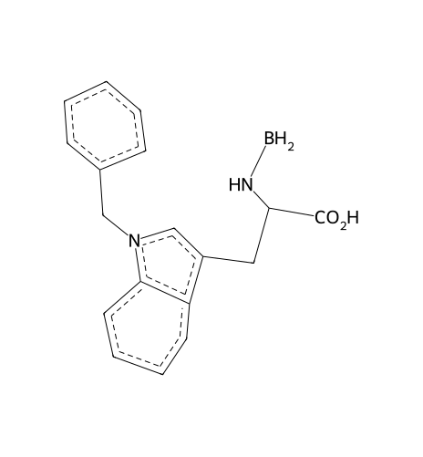 BNC(Cc1cn(Cc2ccccc2)c2ccccc12)C(=O)O